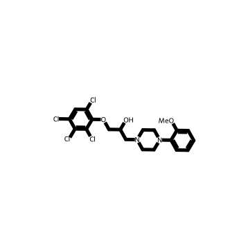 COc1ccccc1N1CCN(CC(O)COc2c(Cl)cc(Cl)c(Cl)c2Cl)CC1